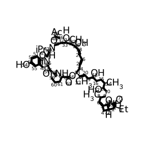 CC[C@H]1C[C@@H]2CC3=C[C@@H](C)[C@H](C[C@H](O)[C@@H](C)CCC(O)C/C=C(\C)[C@@H]4C/C=C/C=C/[C@H](O)[C@H](C)[C@@H](O)[C@@H](CCC(C)=O)C(=O)N[C@@H](C(C)C)C(=O)N[C@@H](Cc5cccc(O)c5)C(=O)N5CCCC(N5)C(=O)O4)O[C@@]32NC1=O